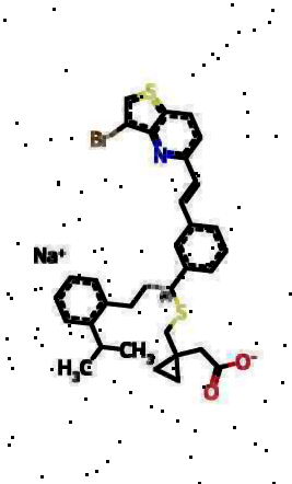 CC(C)c1ccccc1CC[C@@H](SCC1(CC(=O)[O-])CC1)c1cccc(C=Cc2ccc3scc(Br)c3n2)c1.[Na+]